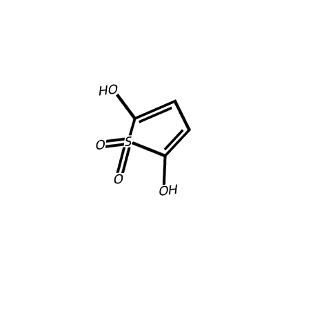 O=S1(=O)C(O)=CC=C1O